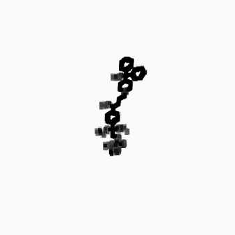 CC(C)(COP(=O)(O)O)c1ccc(C(O)CCCN2CCC(C(O)(c3ccccc3)c3ccccc3)CC2)cc1